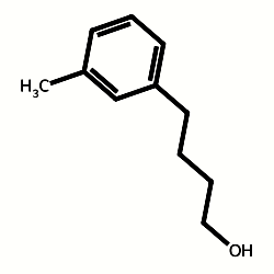 Cc1cccc(CCCCO)c1